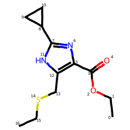 CCOC(=O)c1nc(C2CC2)[nH]c1CSCC